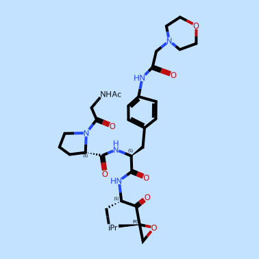 CC(=O)NCC(=O)N1CCC[C@H]1C(=O)N[C@@H](Cc1ccc(NC(=O)CN2CCOCC2)cc1)C(=O)N[C@@H](CC(C)C)C(=O)[C@@]1(C)CO1